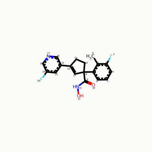 Cc1c(F)cccc1C1(C(=O)NO)C=C(c2cncc(F)c2)CC1